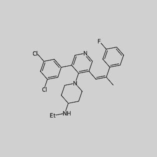 CCNC1CCN(c2c(C=C(C)c3cccc(F)c3)cncc2-c2cc(Cl)cc(Cl)c2)CC1